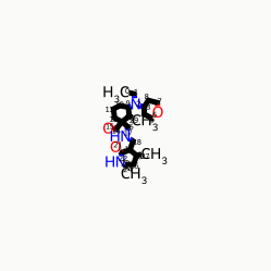 CCN(C1CCOCC1)C1CCCC(C=O)(CNCC2C(=O)NC(C)CC2C)C1C